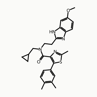 COc1ccc2nc(CCN(CC3CC3)C(=O)c3nc(C)sc3-c3ccc(C)c(C)c3)[nH]c2c1